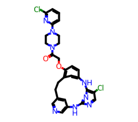 O=C(COc1ccc2cc1CCc1cncc(c1)Nc1ncc(Cl)c(n1)N2)N1CCN(c2cccc(Cl)n2)CC1